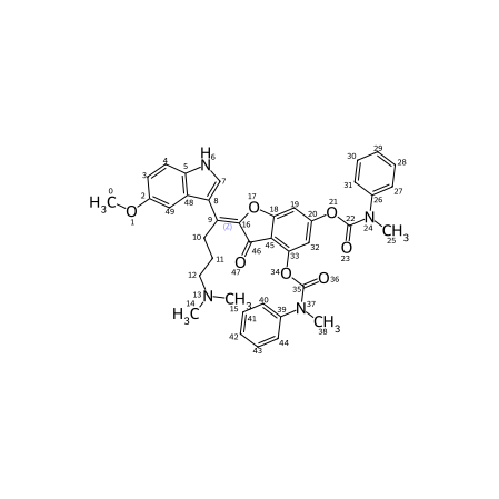 COc1ccc2[nH]cc(/C(CCCN(C)C)=C3\Oc4cc(OC(=O)N(C)c5ccccc5)cc(OC(=O)N(C)c5ccccc5)c4C3=O)c2c1